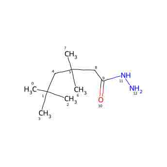 CC(C)(C)CC(C)(C)CC(=O)NN